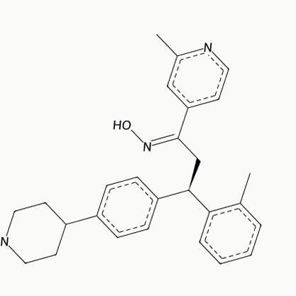 Cc1cc(C(C[C@H](c2ccc(C3CCNCC3)cc2)c2ccccc2C)=NO)ccn1